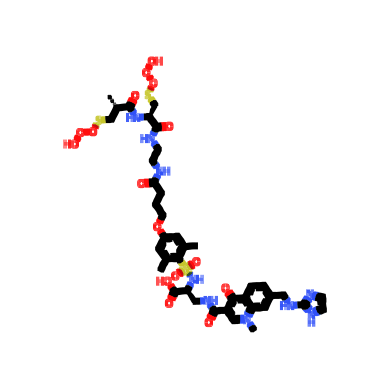 Cc1cc(OCCCC(=O)NCCNC(=O)[C@H](CSOOO)NC(=O)[C@@H](C)CSOOO)cc(C)c1S(=O)(=O)N[C@@H](CNC(=O)c1cn(C)c2cc(CNc3ncc[nH]3)ccc2c1=O)C(=O)O